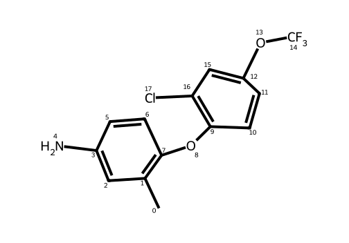 Cc1cc(N)ccc1Oc1ccc(OC(F)(F)F)cc1Cl